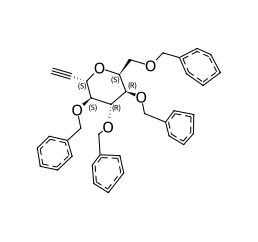 C#C[C@@H]1O[C@@H](COCc2ccccc2)[C@@H](OCc2ccccc2)[C@H](OCc2ccccc2)[C@H]1OCc1ccccc1